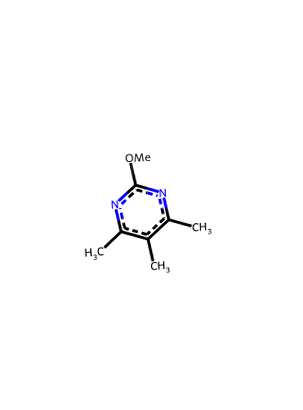 COc1nc(C)c(C)c(C)n1